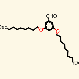 CCCCCCCCCCCCCCCCCCOc1cc(C=O)cc(OCCCCCCCCCCCCCCCCCC)c1